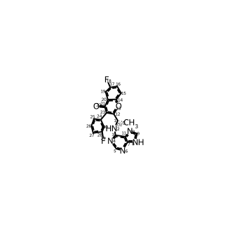 C[C@H](Nc1ncnc2[nH]cnc12)c1oc2ccc(F)cc2c(=O)c1-c1cccc(F)c1